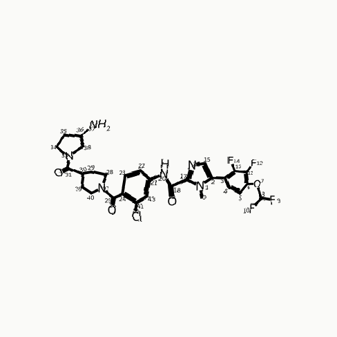 Cn1c(-c2ccc(OC(F)F)c(F)c2F)cnc1C(=O)Nc1ccc(C(=O)N2CCC(C(=O)N3CC[C@@H](N)C3)CC2)c(Cl)c1